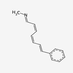 C/N=C/C=C\C=C/C=C/c1ccccc1